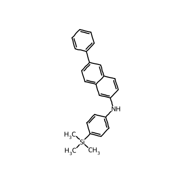 C[Si](C)(C)c1ccc(Nc2ccc3cc(-c4ccccc4)ccc3c2)cc1